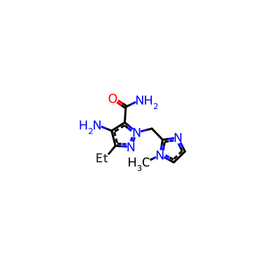 CCc1nn(Cc2nccn2C)c(C(N)=O)c1N